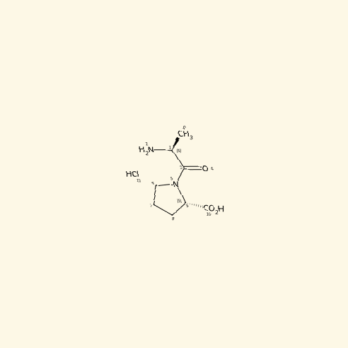 C[C@H](N)C(=O)N1CCC[C@H]1C(=O)O.Cl